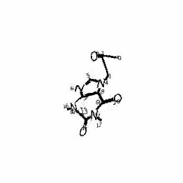 CC(=O)Cn1cnc2c1c(=O)n(C)c(=O)n2C